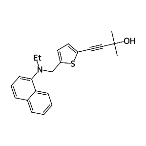 CCN(Cc1ccc(C#CC(C)(C)O)s1)c1cccc2ccccc12